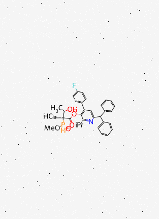 C#CC(C(=O)Oc1c(-c2ccc(F)cc2)cc(C(c2ccccc2)c2ccccc2)nc1C(C)C)(C(C)O)[PH](=O)OC